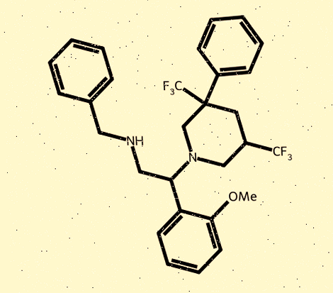 COc1ccccc1C(CNCc1ccccc1)N1CC(C(F)(F)F)CC(c2ccccc2)(C(F)(F)F)C1